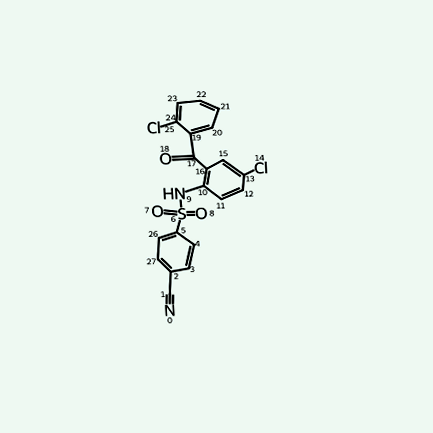 N#Cc1ccc(S(=O)(=O)Nc2ccc(Cl)cc2C(=O)c2ccccc2Cl)cc1